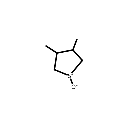 CC1C[S+]([O-])CC1C